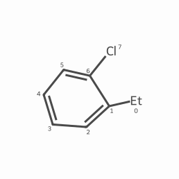 [CH2]Cc1ccccc1Cl